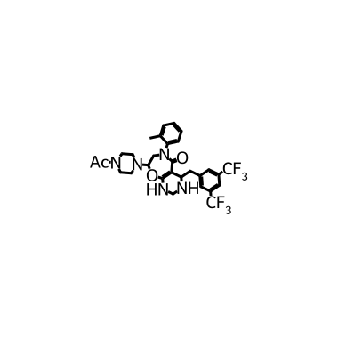 CC(=O)N1CCN(C2CN(c3ccccc3C)C(=O)C3=C(NCNC3Cc3cc(C(F)(F)F)cc(C(F)(F)F)c3)O2)CC1